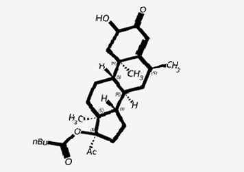 CCCCC(=O)O[C@]1(C(C)=O)CC[C@H]2[C@@H]3C[C@H](C)C4=CC(=O)C(O)C[C@]4(C)[C@H]3CC[C@@]21C